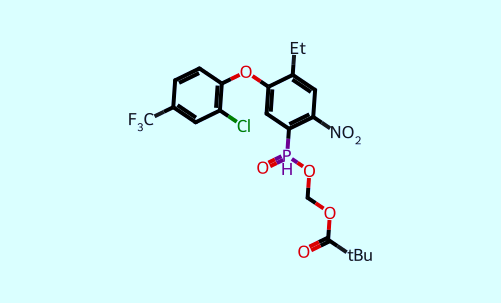 CCc1cc([N+](=O)[O-])c([PH](=O)OCOC(=O)C(C)(C)C)cc1Oc1ccc(C(F)(F)F)cc1Cl